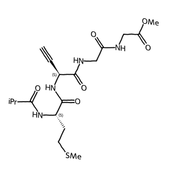 C#C[C@H](NC(=O)[C@H](CCSC)NC(=O)C(C)C)C(=O)NCC(=O)NCC(=O)OC